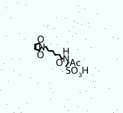 CC(=O)[C@H](CS(=O)(=O)O)NC(=O)CCCCCN1C(=O)C=CC1=O